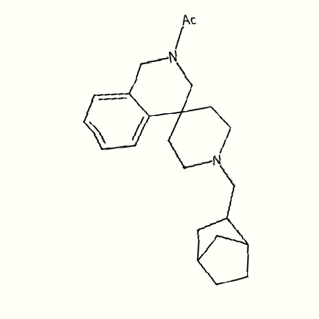 CC(=O)N1Cc2ccccc2C2(CCN(CC3CC4CCC3C4)CC2)C1